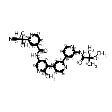 COC(C)(C)C(=O)Nc1cc(-c2cc(-c3cc(NC(=O)c4ccnc(C(C)(C)C#N)c4)cnc3C)ccn2)ccn1